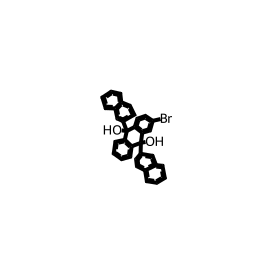 OC1(c2ccc3ccccc3c2)c2ccccc2C(O)(c2ccc3ccccc3c2)c2cc(Br)ccc21